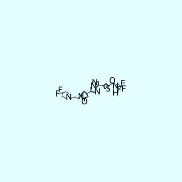 O=C(NCC(F)(F)F)c1cc(-c2cnn3cc(-c4ccn(CCCN5CCC(F)(F)CC5)c(=O)c4)cnc23)cs1